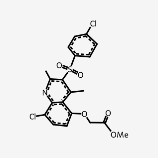 COC(=O)COc1ccc(Cl)c2nc(C)c(S(=O)(=O)c3ccc(Cl)cc3)c(C)c12